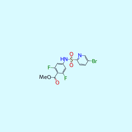 COC(=O)c1c(F)cc(NS(=O)(=O)c2ccc(Br)cn2)cc1F